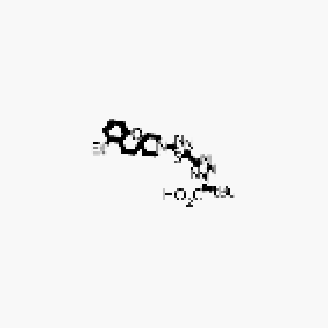 CCc1cccc2c1CCC1(CCN(c3nnc(-c4nnn(C(C(=O)O)C(C)(C)C)n4)s3)CC1)O2